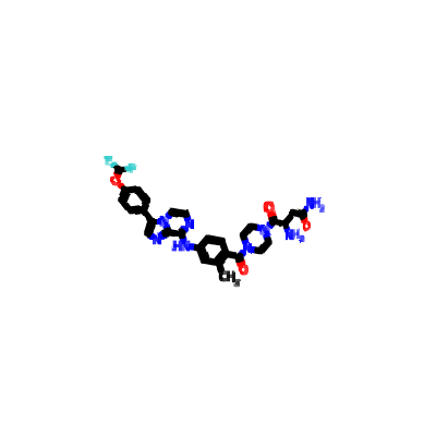 Cc1cc(Nc2nccn3c(-c4ccc(OC(F)F)cc4)cnc23)ccc1C(=O)N1CCN(C(=O)C(N)CC(N)=O)CC1